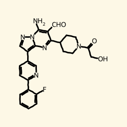 Nc1c(C=O)c(C2CCN(C(=O)CO)CC2)nc2c(-c3ccc(-c4ccccc4F)nc3)cnn12